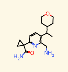 CC(c1ccc(C2(C(N)=O)CC2)nc1CN)C1CCOCC1